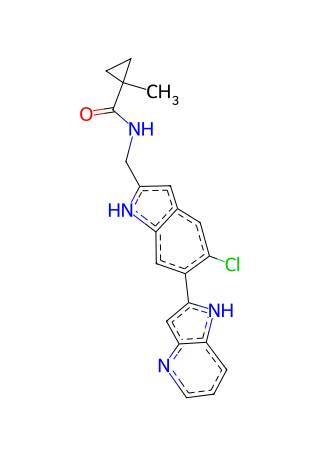 CC1(C(=O)NCc2cc3cc(Cl)c(-c4cc5ncccc5[nH]4)cc3[nH]2)CC1